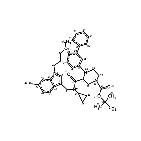 COCCCn1cc(CN(C(=O)C2CN(C(=O)OC(C)(C)C)CCN2c2cccc(-c3ccccc3)c2)C2CC2)c2ccc(F)cc21